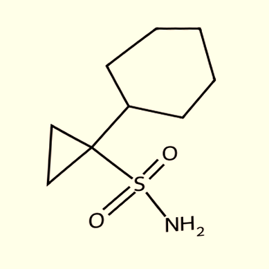 NS(=O)(=O)C1(C2CCCCC2)CC1